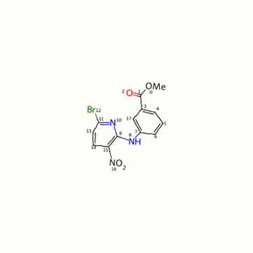 COC(=O)c1cccc(Nc2nc(Br)ccc2[N+](=O)[O-])c1